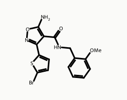 COc1ccccc1CNC(=O)c1c(-c2ccc(Br)s2)noc1N